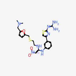 CN(C)Cc1ccc(CSCCN/C(=C\[N+](=O)[O-])Nc2cccc(-c3csc(N=C(N)N)n3)c2)o1